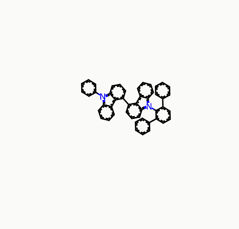 c1ccc(-c2cccc(-c3ccccc3)c2-n2c3ccccc3c3c(-c4cccc5c4c4ccccc4n5-c4ccccc4)cccc32)cc1